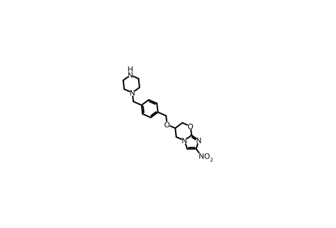 O=[N+]([O-])c1cn2c(n1)OCC(OCc1ccc(CN3CCNCC3)cc1)C2